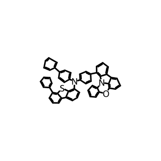 c1ccc(-c2ccc(N(c3ccc(-c4cccc5c6cccc7c6n(c45)-c4ccccc4O7)cc3)c3cccc4c3sc3c(-c5ccccc5)cccc34)cc2)cc1